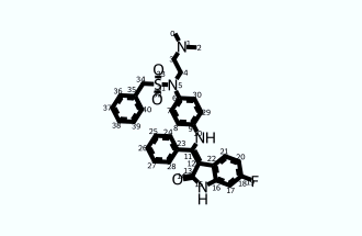 CN(C)CCN(c1ccc(NC(=C2C(=O)Nc3cc(F)ccc32)c2ccccc2)cc1)S(=O)(=O)Cc1ccccc1